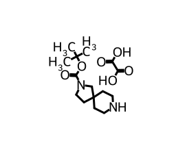 CC(C)(C)OC(=O)N1CCC2(CCNCC2)C1.O=C(O)C(=O)O